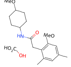 COc1cc(C)cc(C)c1CC(=O)NC1CCC(OC)CC1.O=C(O)O